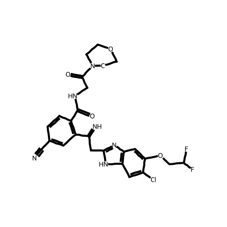 N#Cc1ccc(C(=O)NCC(=O)N2CCOCC2)c(C(=N)Cc2nc3cc(OCC(F)F)c(Cl)cc3[nH]2)c1